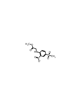 COC(=O)CNc1ccc(S(C)(=O)=O)cc1[N+](=O)[O-]